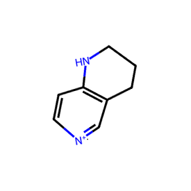 C1=CC2=C(C=[N+]1)CCCN2